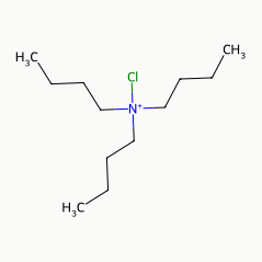 CCCC[N+](Cl)(CCCC)CCCC